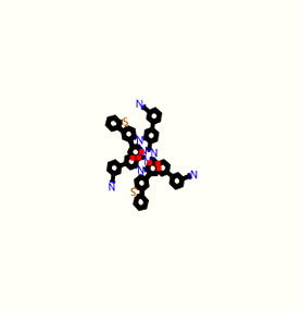 N#Cc1cccc(-c2ccc(-c3nc(-c4ccc(-c5cccc(C#N)c5)cc4-n4c5ccccc5c5cc6c(cc54)sc4ccccc46)nc(-c4ccc(-c5cccc(C#N)c5)cc4-n4c5ccccc5c5cc6c(cc54)sc4ccccc46)n3)cc2)c1